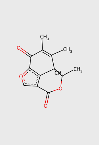 CC1=C(C)C2(C)c3c(coc3C1=O)C(=O)OC2C